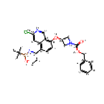 CC[C@H](N[S+]([O-])C(C)(C)C)c1ccc(OC2CN(C(=O)OCc3ccccc3)C2)c2cnc(Cl)cc12